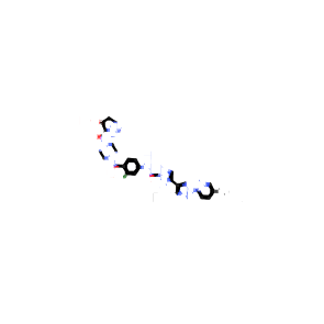 Cn1c(-c2cn(-c3ccc([N+](=O)[O-])cn3)nc2C(F)(F)F)cnc1C(=O)Nc1ccc(C(=O)N2CCN(C(=O)[C@@H]3[C@@H](O)CC[N+]3(C)C)CC2)c(Cl)c1